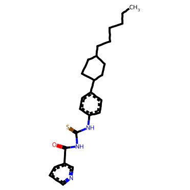 CCCCCCC1CCC(c2ccc(NC(=S)NC(=O)c3cccnc3)cc2)CC1